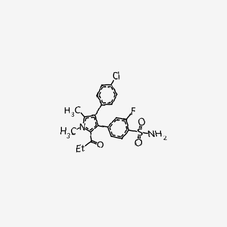 CCC(=O)c1c(-c2ccc(S(N)(=O)=O)c(F)c2)c(-c2ccc(Cl)cc2)c(C)n1C